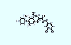 CCSc1c(N2CCNCC2)c(F)cc2cc(C(=O)C=CC3=CC(=O)C(=O)C=C3)c[n+]([O-])c12